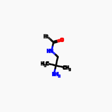 CCC(=O)NCC(C)(C)N